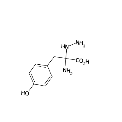 NNC(N)(Cc1ccc(O)cc1)C(=O)O